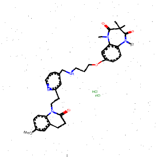 CCN1C(=O)C(C)(C)C(=O)N(C)c2cc(OCCCNCc3ccnc(CCN4C(=O)CCc5cc(OC)ccc54)c3)ccc21.Cl.Cl